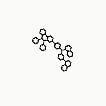 c1ccc(-c2c(-c3ccccc3)c3cc(-c4ccc(N(c5cccc(-c6cccc7ccccc67)c5)c5cccc6ccccc56)cc4)ccc3c3ccccc23)cc1